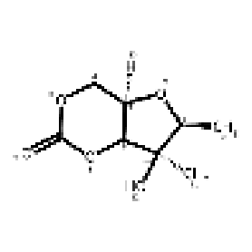 C[C@@H]1O[C@@H]2COC(=O)OC2[C@]1(C)O